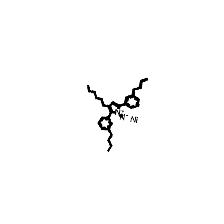 CCCCCCC1=C(c2cccc(CCCC)c2)[N+](=[N-])C(c2cccc(CCCC)c2)=C1.[Ni]